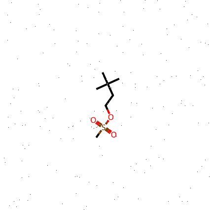 CC(C)(C)CCOS(C)(=O)=O